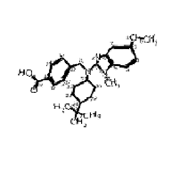 COc1ccc2c(c1)nc(N(Cc1ccc(C(=O)O)cc1)C1CCC(C(C)(C)C)CC1)n2C